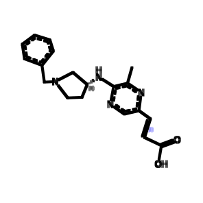 Cc1nc(/C=C/C(=O)O)cnc1N[C@@H]1CCN(Cc2ccccc2)C1